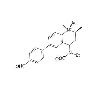 CCN(C(=O)[O-])C1C[C@H](C)[N@+](C)(C(C)=O)c2ccc(-c3ccc(C=O)cc3)cc21